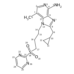 Cc1cnc(N)c2nc(CC3CC3)n(CCCCS(=O)(=O)c3ncccn3)c12